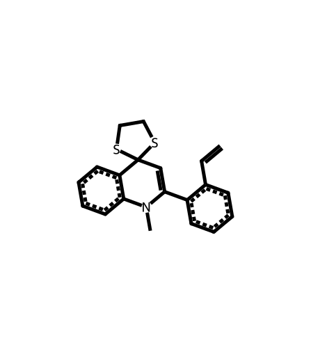 C=Cc1ccccc1C1=CC2(SCCS2)c2ccccc2N1C